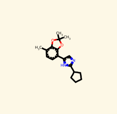 Cc1ccc(-c2cnc(C3CCCC3)[nH]2)c2c1OC(C)(C)O2